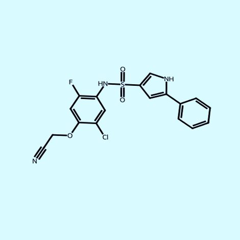 N#CCOc1cc(F)c(NS(=O)(=O)c2c[nH]c(-c3ccccc3)c2)cc1Cl